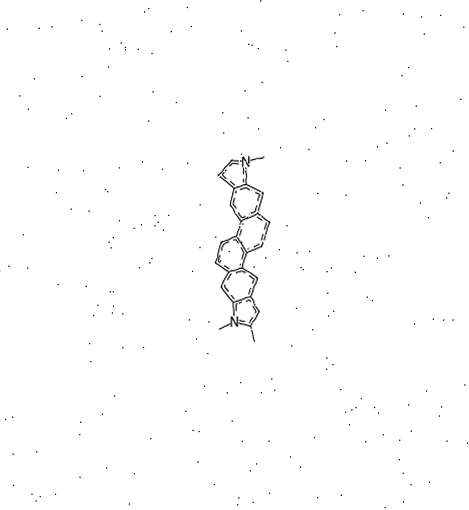 Cc1cc2cc3c(ccc4c5cc6ccn(C)c6cc5ccc34)cc2n1C